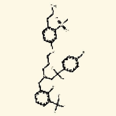 CS(=O)(=O)c1cc(OCCCN(Cc2cccc(C(F)(F)F)c2Cl)CC(F)(F)c2ccc(F)cc2)ccc1CCO